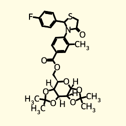 Cc1cc(C(=O)OC[C@H]2O[C@@H]3OC(C)(C)O[C@@H]3[C@H]3OC(C)(C)O[C@H]32)ccc1N1C(=O)CSC1c1ccc(F)cc1